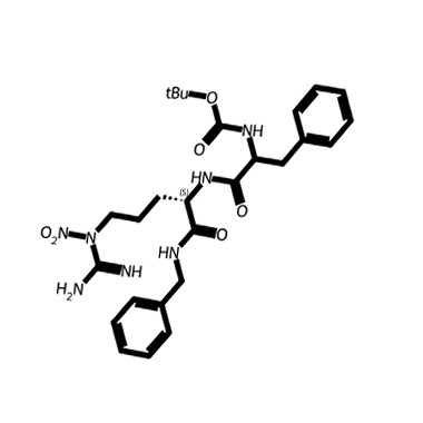 CC(C)(C)OC(=O)NC(Cc1ccccc1)C(=O)N[C@@H](CCCN(C(=N)N)[N+](=O)[O-])C(=O)NCc1ccccc1